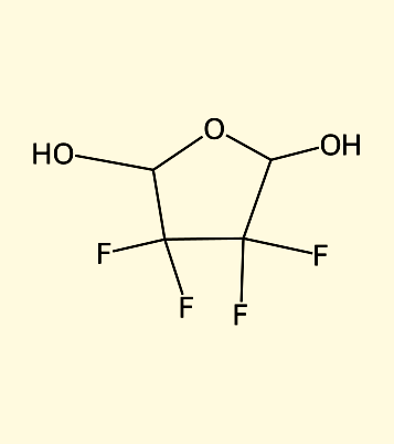 OC1OC(O)C(F)(F)C1(F)F